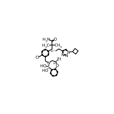 CC[C@@H]1CN(Cc2cc([C@@H](CCc3cn(C4CCC4)nn3)C(C)(C)C(N)=O)ccc2Cl)S(O)(O)c2ccccc2O1